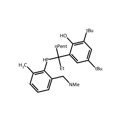 CCCCCC(CC)(Pc1c(C)cccc1CNC)c1cc(C(C)(C)C)cc(C(C)(C)C)c1O